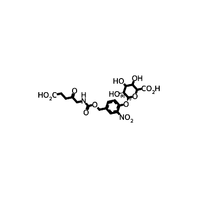 O=C(O)CCC(=O)CNC(=O)OCc1ccc(O[C@H]2OC(C(=O)O)C(O)C(O)[C@H]2O)c([N+](=O)[O-])c1